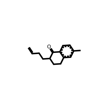 C=CCCC1CCc2cc(C)ccc2C1=O